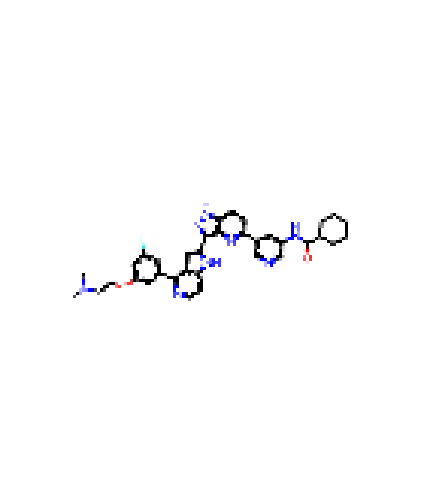 CN(C)CCOc1cc(F)cc(-c2nccc3[nH]c(-c4n[nH]c5ccc(-c6cncc(NC(=O)C7CCCCC7)c6)nc45)cc23)c1